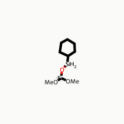 CO[Si](OC)O[SiH2]C1CCCCC1